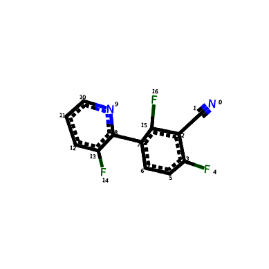 N#Cc1c(F)ccc(-c2ncccc2F)c1F